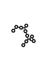 c1ccc(-c2ccc(N(c3ccc(-c4ccc(N(c5ccccc5)c5ccc(-c6cccc(-c7ccccc7)c6)cc5)cc4)cc3)c3cc4ccccc4c4ccccc34)cc2)cc1